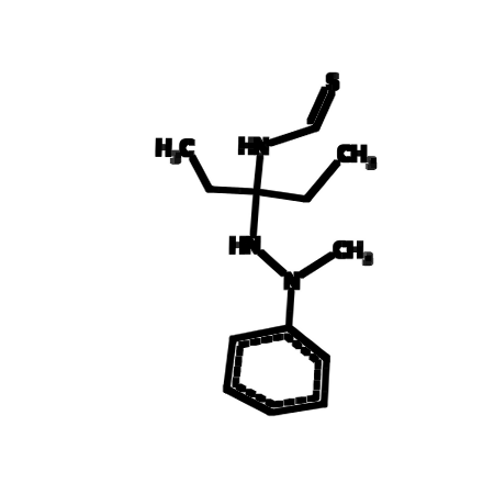 CCC(CC)(NC=S)NN(C)c1ccccc1